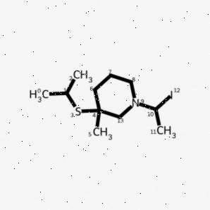 CC(C)SC1(C)CCCN(C(C)I)C1